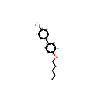 CCCCCOc1ccc(-c2ccc(O)cc2)cc1